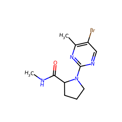 CNC(=O)C1CCCN1c1ncc(Br)c(C)n1